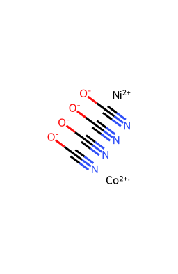 N#C[O-].N#C[O-].N#C[O-].N#C[O-].[Co+2].[Ni+2]